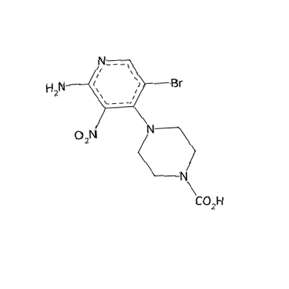 Nc1ncc(Br)c(N2CCN(C(=O)O)CC2)c1[N+](=O)[O-]